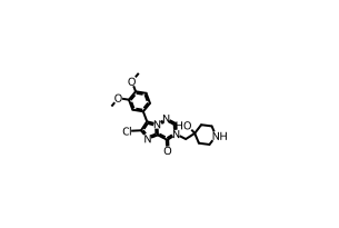 COc1ccc(-c2c(Cl)nc3c(=O)n(CC4(O)CCNCC4)cnn23)cc1OC